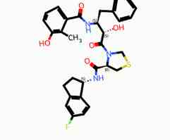 Cc1c(O)cccc1C(=O)N[C@@H](Cc1ccccc1)[C@H](O)C(=O)N1CSC[C@H]1C(=O)N[C@H]1CCc2cc(F)ccc21